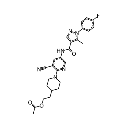 CC(=O)OCCC1CCN(c2ncc(NC(=O)c3cnn(-c4ccc(F)cc4)c3C)cc2C#N)CC1